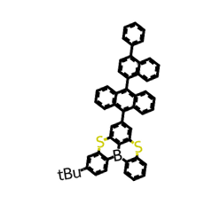 CC(C)(C)c1ccc2c(c1)Sc1cc(-c3c4ccccc4c(-c4ccc(-c5ccccc5)c5ccccc45)c4ccccc34)cc3c1B2c1ccccc1S3